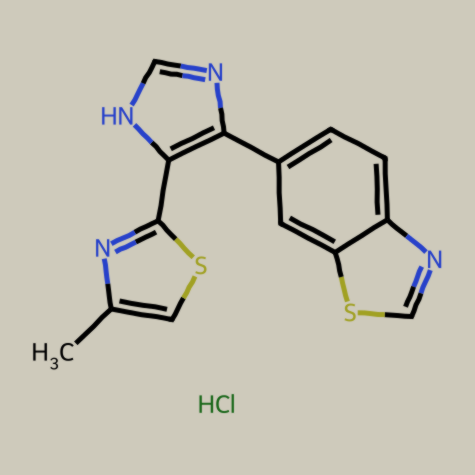 Cc1csc(-c2[nH]cnc2-c2ccc3ncsc3c2)n1.Cl